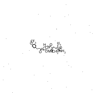 C=N/C(=C\C=C(/C)S(N)(=O)=O)C(=O)N1C[C@H]2CN(C(=O)CCc3ccc(OC(F)(F)F)cc3)C[C@]2(OC)C1